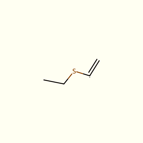 C=[C]SCC